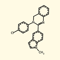 Cn1ccc2cc(C3=Nc4ccccc4CN3c3ccc(Cl)cc3)ccc21